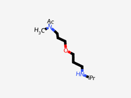 CC(=O)N(C)CCCOCCCNC(C)C